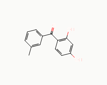 Cc1cccc(C(=O)c2ccc(O)cc2O)c1